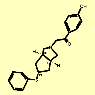 O=C(CN1C[C@H]2C[C@@H](Sc3ccccc3)C[C@H]2C1)c1ccc(O)cc1